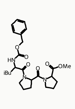 CCC(C)C(NC(=O)OCc1ccccc1)C(=O)N1CCCC1C(=O)N1CCCC1C(=O)OC